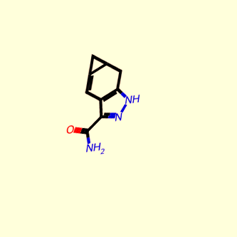 NC(=O)c1n[nH]c2c1C=C1CC1C2